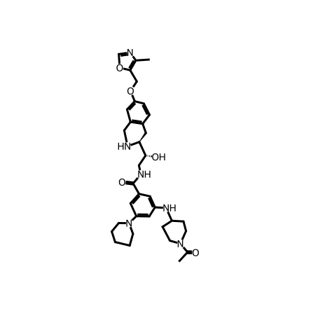 CC(=O)N1CCC(Nc2cc(C(=O)NC[C@@H](O)[C@@H]3Cc4ccc(OCc5ocnc5C)cc4CN3)cc(N3CCCCC3)c2)CC1